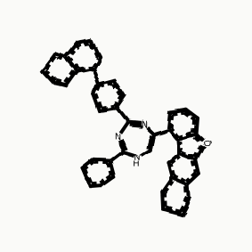 C1=C(c2cccc3oc4cc5ccccc5cc4c23)N=C(c2ccc(-c3cccc4ccccc34)cc2)N=C(c2ccccc2)N1